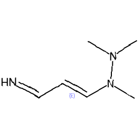 CN(C)N(C)/C=C/C=N